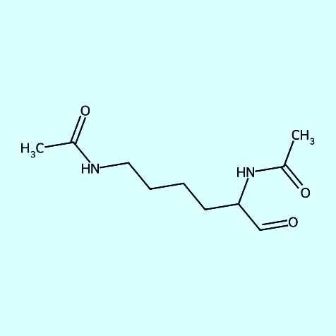 CC(=O)NCCCCC(C=O)NC(C)=O